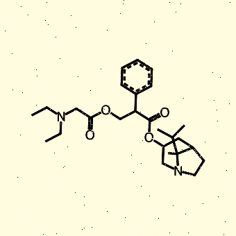 CCN(CC)CC(=O)OCC(C(=O)OC1CC2CCN(C1)C2(C)C(C)C)c1ccccc1